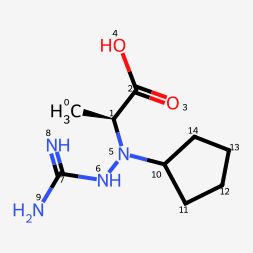 C[C@@H](C(=O)O)N(NC(=N)N)C1CCCC1